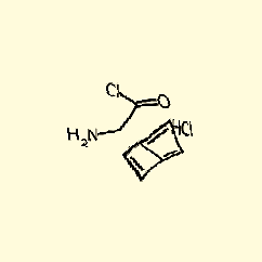 Cl.NCC(=O)Cl.c1cc2ccc1-2